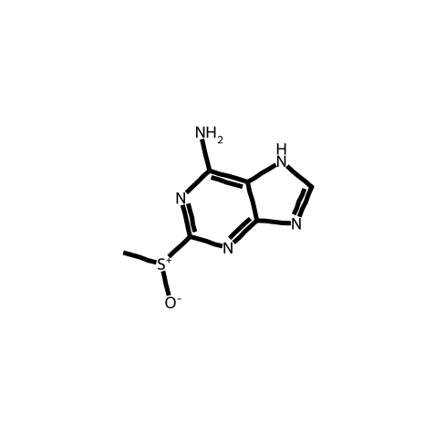 C[S+]([O-])c1nc(N)c2[nH]cnc2n1